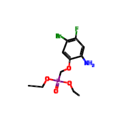 CCOP(=O)(COc1cc(Br)c(F)cc1N)OCC